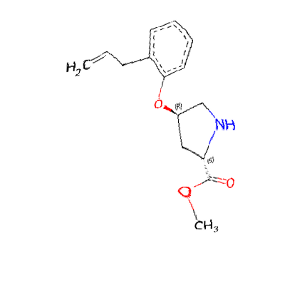 C=CCc1ccccc1O[C@H]1CN[C@H](C(=O)OC)C1